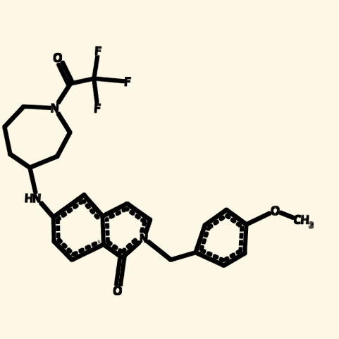 COc1ccc(Cn2ccc3cc(NC4CCCN(C(=O)C(F)(F)F)CC4)ccc3c2=O)cc1